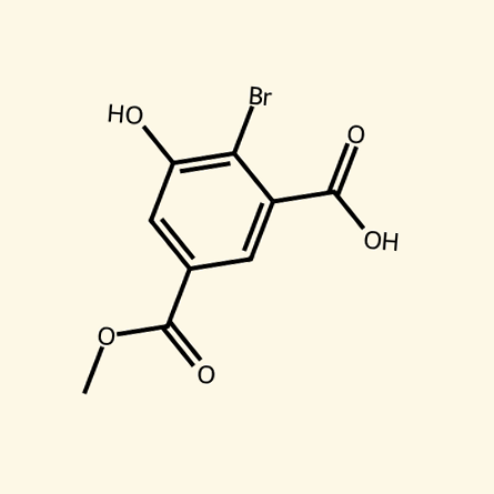 COC(=O)c1cc(O)c(Br)c(C(=O)O)c1